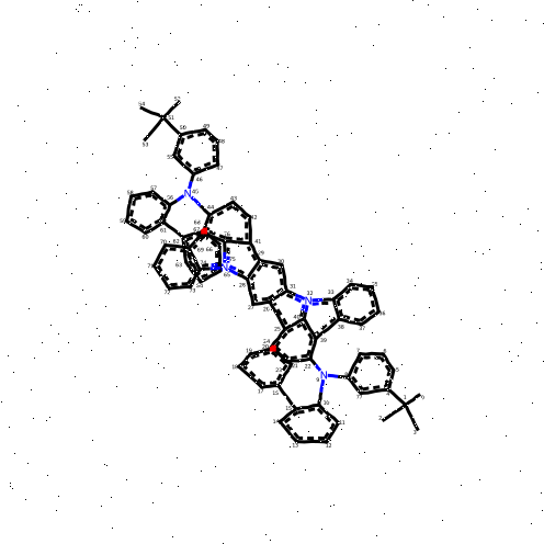 CC(C)(C)c1cccc(N(c2ccccc2-c2ccccc2)c2ccc3c4cc5c(cc4n4c6ccccc6c2c34)c2ccc(N(c3cccc(C(C)(C)C)c3)c3ccccc3-c3ccccc3)c3c4ccccc4n5c23)c1